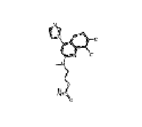 CN(CCO[PH](=O)O)c1cc(-n2ccnc2)c2ccc(Cl)c(Cl)c2n1